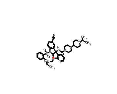 CCOc1ccccc1S(=O)(=O)N1C(=O)C(NC(=O)N2CCN(C3CCN(C(C)C)CC3)CC2)(c2cccnc2OCC)c2cc(C#N)ccc21